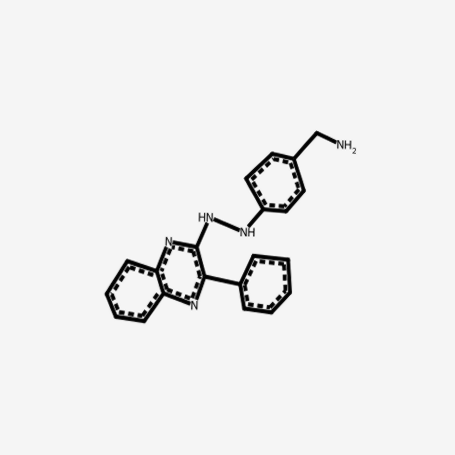 NCc1ccc(NNc2nc3ccccc3nc2-c2ccccc2)cc1